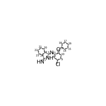 N=C1NC(=Nc2cc(Cl)ccc2Oc2ccccc2)c2ccccc21